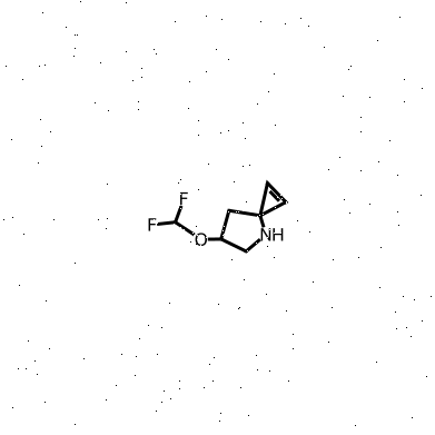 FC(F)OC1CNC2(C=C2)C1